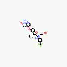 CC1c2cc(Oc3ccnc4c3CCC(=O)N4)ccc2OC1c1nc2cc(C(F)(F)F)ccc2n1CCO